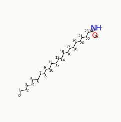 CCCCCCCCCCCCCCCCCCCCCCCCC([NH])=O